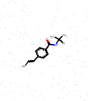 CCC/C=C/c1ccc(C(=O)NC(C)(C)CC)cc1